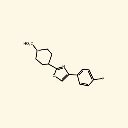 O=C(O)N1CCC(c2nc(-c3ccc(F)cc3)co2)CC1